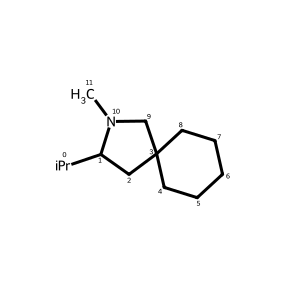 CC(C)C1CC2(CCCCC2)CN1C